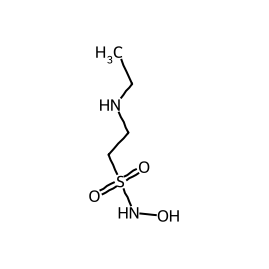 CCNCCS(=O)(=O)NO